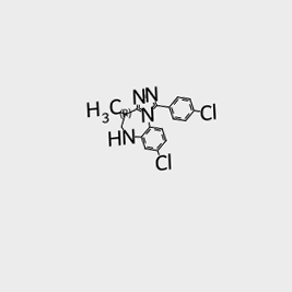 C[C@@H]1CNc2cc(Cl)ccc2-n2c(-c3ccc(Cl)cc3)nnc21